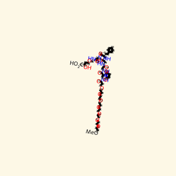 COCCOCCOCCOCCOCCOCCOCCOCCC(=O)NCC(C(=O)NCC(=O)NCC(=O)N[C@@H](CCc1ccccc1)C(=O)NCC(=O)NCOCC[C@@H](O)C(=O)O)N1C(=O)C=CC1=O